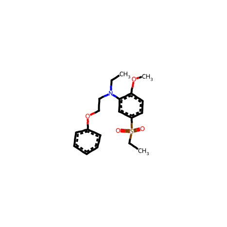 CCN(CCOc1ccccc1)c1cc(S(=O)(=O)CC)ccc1OC